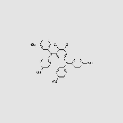 CC(C)(C)c1ccc(N(c2ccc(C(C)(C)C)cc2)c2cc(Cl)c(Cl)c(N(c3ccc(C(C)(C)C)cc3)c3cccc(C(C)(C)C)c3)c2)cc1